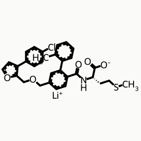 CSCC[C@H](NC(=O)c1ccc(COCc2occc2-c2ccc(Cl)cc2)cc1-c1ccccc1C)C(=O)[O-].[Li+]